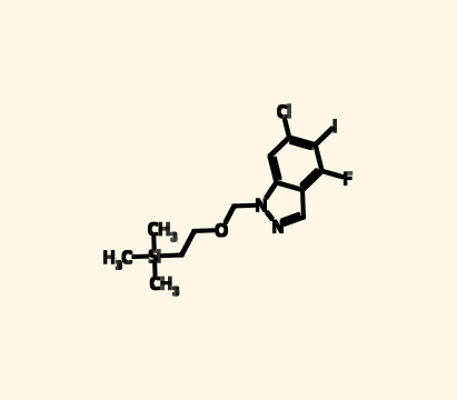 C[Si](C)(C)CCOCn1ncc2c(F)c(I)c(Cl)cc21